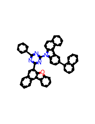 c1ccc(-c2nc(-c3cc4ccccc4c4c3oc3ccccc34)nc(-n3c4ccc(-c5cccc6ccccc56)cc4c4c5ccccc5ccc43)n2)cc1